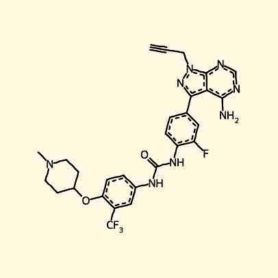 C#CCn1nc(-c2ccc(NC(=O)Nc3ccc(OC4CCN(C)CC4)c(C(F)(F)F)c3)c(F)c2)c2c(N)ncnc21